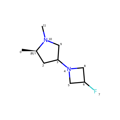 C[C@@H]1CC(N2CC(F)C2)CN1C